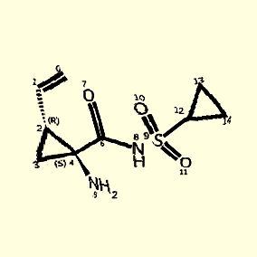 C=C[C@H]1C[C@@]1(N)C(=O)NS(=O)(=O)C1CC1